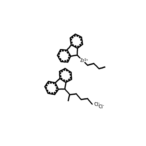 CCCCC(C)C1c2ccccc2-c2ccccc21.CCC[CH2][Zr+2][CH]1c2ccccc2-c2ccccc21.[Cl-].[Cl-]